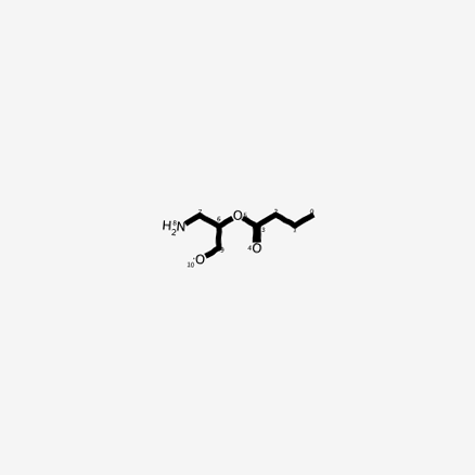 CCCC(=O)OC(CN)C[O]